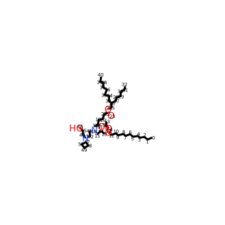 CCCCCCCCCCCCOCC(CN(CCCCCC(=O)OCC(CCCCCC)CCCCCCCC)CCN(CCO)C1CCC1)OC(C)=O